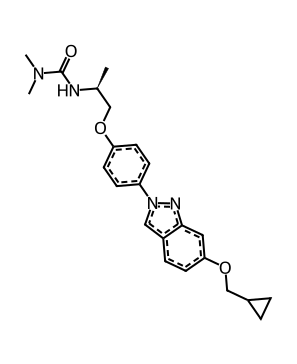 C[C@@H](COc1ccc(-n2cc3ccc(OCC4CC4)cc3n2)cc1)NC(=O)N(C)C